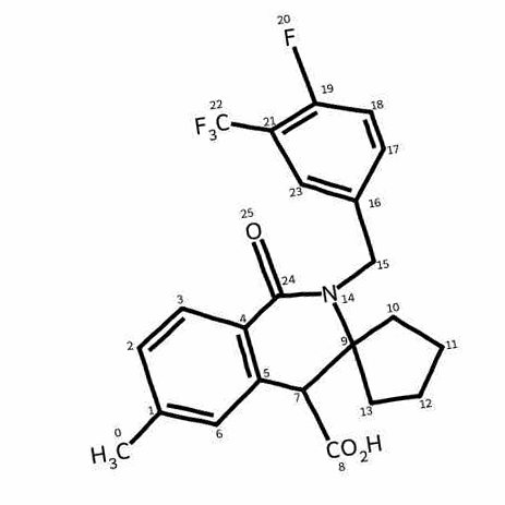 Cc1ccc2c(c1)C(C(=O)O)C1(CCCC1)N(Cc1ccc(F)c(C(F)(F)F)c1)C2=O